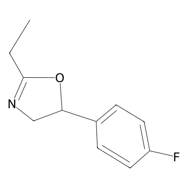 CCC1=NCC(c2ccc(F)cc2)O1